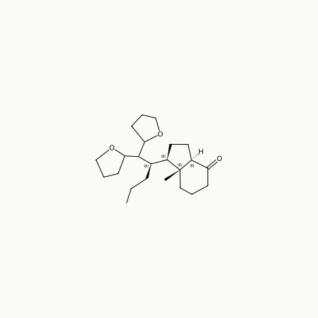 CCC[C@@H](C(C1CCCO1)C1CCCO1)[C@H]1CC[C@H]2C(=O)CCC[C@]12C